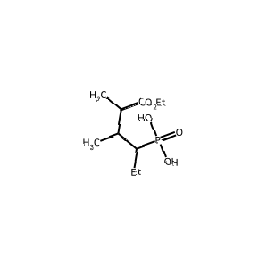 CCOC(=O)C(C)C(C)C(CC)P(=O)(O)O